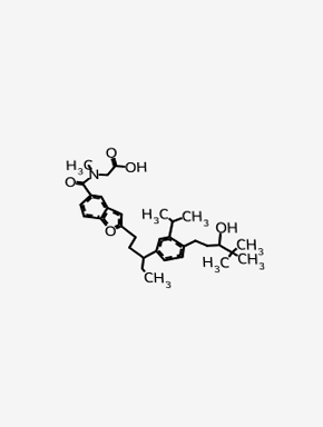 CCC(CCc1cc2cc(C(=O)N(C)CC(=O)O)ccc2o1)c1ccc(CCC(O)C(C)(C)C)c(C(C)C)c1